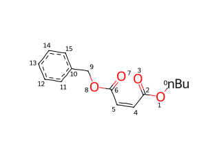 CCCCOC(=O)/C=C\C(=O)OCc1ccccc1